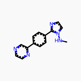 CNn1ccnc1-c1ccc(-c2cnccn2)cc1